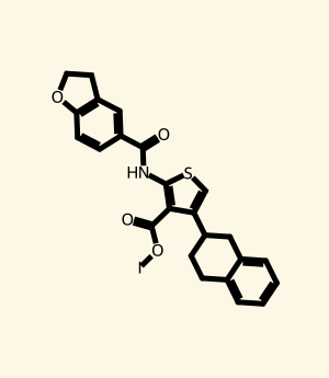 O=C(Nc1scc(C2CCc3ccccc3C2)c1C(=O)OI)c1ccc2c(c1)CCO2